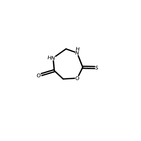 O=C1COC(=S)NCN1